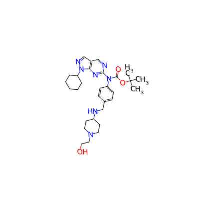 CC(C)(C)OC(=O)N(c1ccc(CNC2CCN(CCO)CC2)cc1)c1ncc2cnn(C3CCCCC3)c2n1